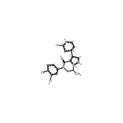 C[C@H]1CN(c2ccc(Cl)c(Cl)c2)C(=O)c2c(-c3ccnc(F)c3)cnn21